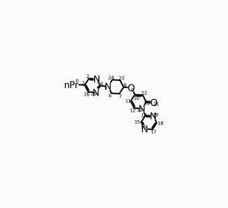 CCCc1cnc(N2CCC(Oc3ccn(-c4cnccn4)c(=O)c3)CC2)nc1